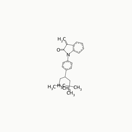 C=C1C(=O)N(c2ccc(C(CC(C)C)CC(C)(C)C)cc2)c2ccccc21